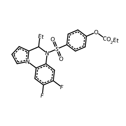 CCOC(=O)Oc1ccc(S(=O)(=O)N2c3cc(F)c(F)cc3-n3cccc3C2CC)cc1